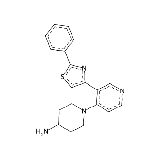 NC1CCN(c2ccncc2-c2csc(-c3ccccc3)n2)CC1